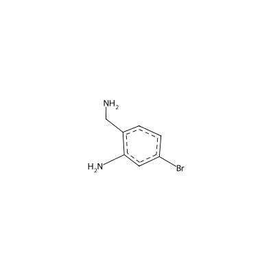 NCc1ccc(Br)cc1N